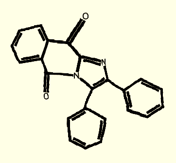 O=C1c2ccccc2C(=O)n2c1nc(-c1ccccc1)c2-c1ccccc1